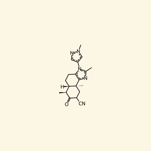 Cc1nc2c(n1-c1cnn(C)c1)CC[C@H]1[C@H](C)C(=O)C(C#N)C[C@]21C